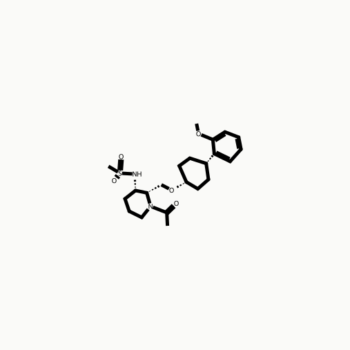 COc1ccccc1[C@H]1CC[C@@H](OC[C@H]2[C@@H](NS(C)(=O)=O)CCCN2C(C)=O)CC1